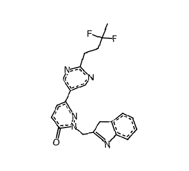 CC(F)(F)CCc1ncc(-c2ccc(=O)n(CC3=Nc4ccccc4C3)n2)cn1